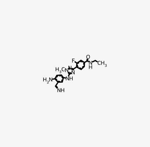 CCNC(=O)c1ccc(-c2nc(Nc3ccc(N)c(C=N)c3)n(C)n2)c(F)c1